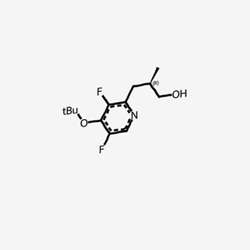 C[C@@H](CO)Cc1ncc(F)c(OC(C)(C)C)c1F